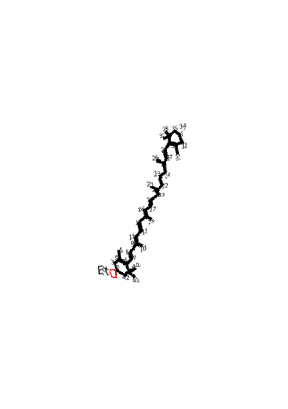 CCO[C@@H]1CC(C)=C(/C=C/C(C)=C/C=C/C(C)=C/C=C/C=C(C)/C=C/C=C(C)/C=C/C2=C(C)C[C@@H](C)CC2(C)C)C(C)(C)C1